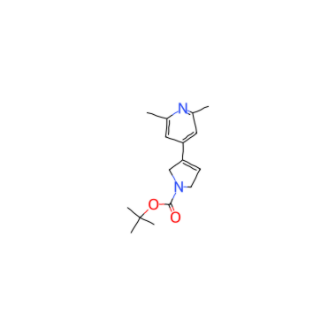 Cc1cc(C2=CCN(C(=O)OC(C)(C)C)C2)cc(C)n1